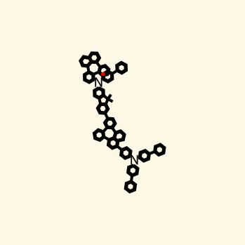 CC1(C)c2cc(-c3ccc4c(c3)-c3ccccc3-c3ccc(-c5ccc(N(c6ccc(-c7ccccc7)cc6)c6ccc(-c7ccccc7)cc6)cc5)c5cccc-4c35)ccc2-c2ccc(N(c3ccc(-c4ccccc4)cc3)c3cccc4c3-c3ccccc3-c3cccc5cccc-4c35)cc21